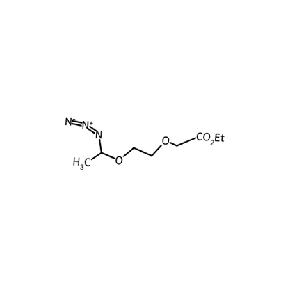 CCOC(=O)COCCOC(C)N=[N+]=[N-]